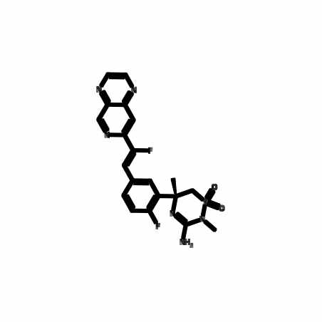 CN1C(N)=N[C@](C)(c2cc(/C=C(\F)c3cc4nccnc4cn3)ccc2F)CS1(=O)=O